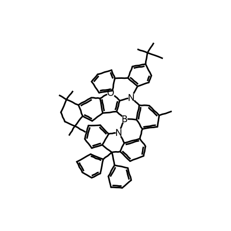 Cc1cc2c3c(c1)N(c1ccc(C(C)(C)C)cc1-c1ccccc1)c1oc4cc5c(cc4c1B3N1c3ccccc3C(c3ccccc3)(c3ccccc3)c3cccc-2c31)C(C)(C)CCC5(C)C